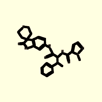 CC(c1ccccc1)C(NC(=O)c1ccnn1C)C(=O)Nc1ccc2c(c1)NC(=O)C21CCOCC1